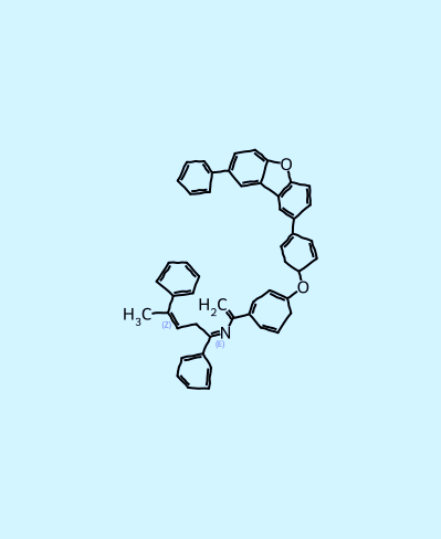 C=C(/N=C(\C/C=C(/C)c1ccccc1)c1ccccc1)C1=CC=C(OC2C=CC(c3ccc4oc5ccc(-c6ccccc6)cc5c4c3)=CC2)CC=C1